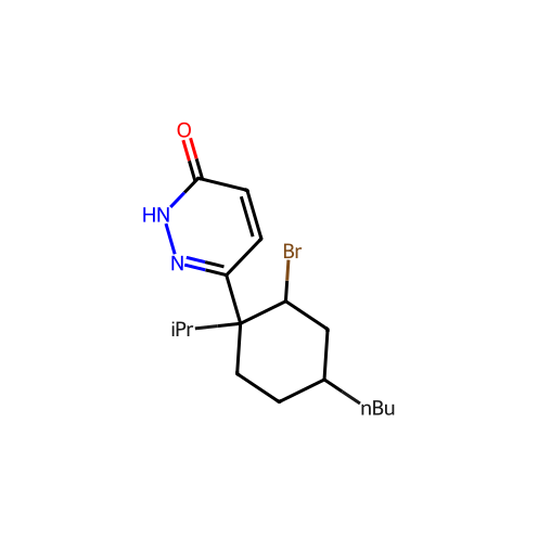 CCCCC1CCC(c2ccc(=O)[nH]n2)(C(C)C)C(Br)C1